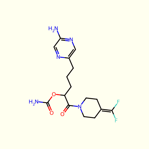 NC(=O)OC(CCCc1cnc(N)cn1)C(=O)N1CCC(=C(F)F)CC1